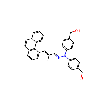 C/C(C=NN(c1ccc(CO)cc1)c1ccc(CO)cc1)=C\c1cccc2c1C1=C=CC=CC1C=C2